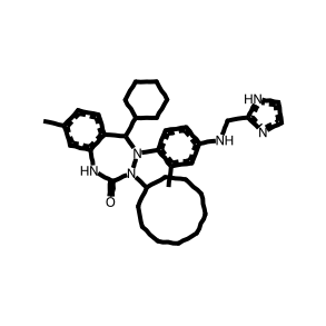 Cc1ccc2c(c1)NC(=O)N(C1CCCCCCCCC1)N(c1ccc(NCc3ncc[nH]3)cc1C)C2C1CCCCC1